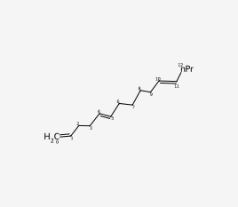 C=CCCC=CCCCCC=CCCC